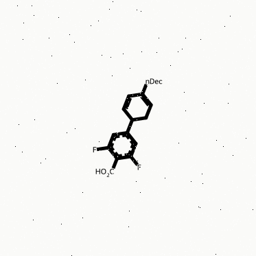 CCCCCCCCCCC1=CCC(c2cc(F)c(C(=O)O)c(F)c2)C=C1